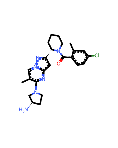 Cc1cc(Cl)ccc1C(=O)N1CCCC[C@H]1c1cc2nc(N3CC[C@H](N)C3)c(C)cn2n1